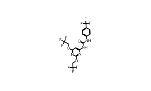 O=C(Nc1ccc(C(F)(F)F)cc1)Nc1cc(OCC(F)(F)F)nc(OCC(F)(F)F)n1